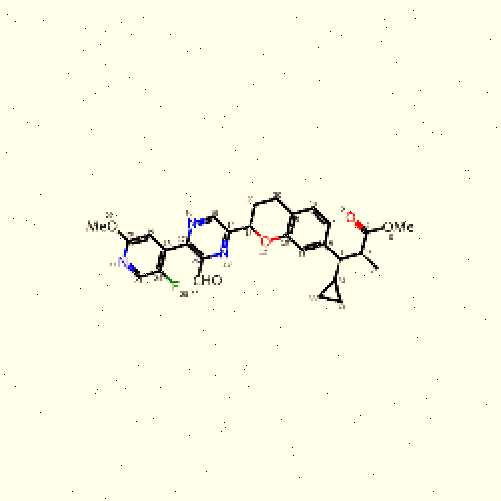 COC(=O)[C@@H](C)[C@H](c1ccc2c(c1)OC(c1cnc(-c3cc(OC)ncc3F)c(C=O)n1)CC2)C1CC1